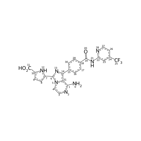 Nc1nccn2c(-c3ccc(C(=O)O)[nH]3)nc(-c3ccc(C(=O)Nc4cc(C(F)(F)F)ccn4)cc3)c12